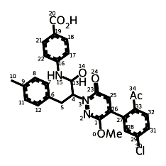 COc1nn(C(Cc2ccc(C)cc2)C(O)Nc2ccc(C(=O)O)cc2)c(=O)cc1-c1cc(Cl)ccc1C(C)=O